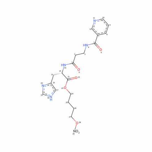 O=C(CCNC(=O)c1cccnc1)N[C@@H](Cc1c[nH]cn1)C(=O)OCCCCO[N+](=O)[O-]